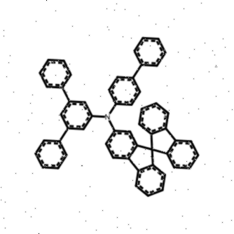 c1ccc(-c2ccc(N(c3cc(-c4ccccc4)cc(-c4ccccc4)c3)c3ccc4c(c3)C3(c5ccccc5-c5ccccc53)c3ccccc3-4)cc2)cc1